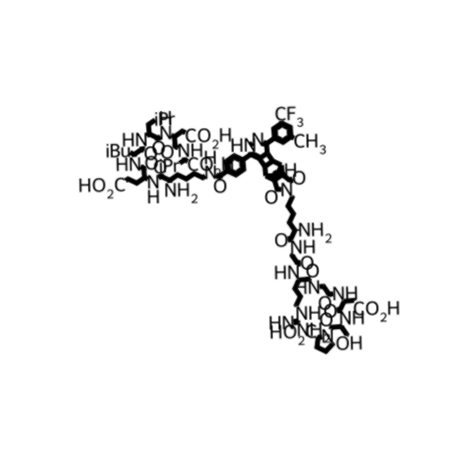 CCC(C)C(NC(=O)C(CCC(=O)O)NC(=O)C(N)CCCCNC(=O)c1ccc(C2=C3C(C(c4cc(C)cc(C(F)(F)F)c4)=NN2)C2C3C3C=CC2[C@@H]2C(=O)N(CCCC[C@H](N)C(=O)NCC(=O)NC(CCCNC(=N)N)C(=O)NCC(=O)NC(CC(=O)O)C(=O)NC(CO)C(=O)N4CCCC4C(=O)O)C(=O)C32)cc1)C(=O)NC(CC(C)C)C(=O)NC(CC(=O)O)C(=O)NC(C(=O)O)C(C)C